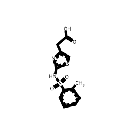 Cc1ccccc1S(=O)(=O)Nc1nc(CC(=O)O)cs1